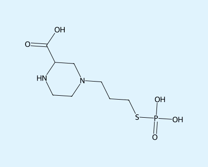 O=C(O)C1CN(CCCSP(=O)(O)O)CCN1